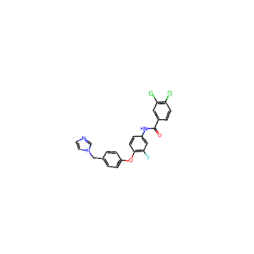 O=C(Nc1ccc(Oc2ccc(Cn3ccnc3)cc2)c(F)c1)c1ccc(Cl)c(Cl)c1